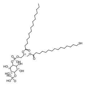 CCCCCCCCCCCCCCCC(=O)O[C@H](COC(=O)CCCCCCCCCCCCCCS)COP(=O)(O)OC1C(O)[C@H](O)C(OP(=O)(O)O)[C@H](O)[C@@H]1O